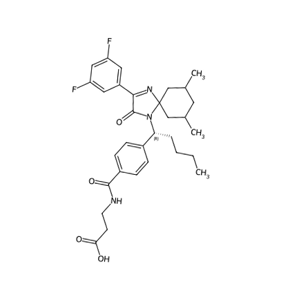 CCCC[C@H](c1ccc(C(=O)NCCC(=O)O)cc1)N1C(=O)C(c2cc(F)cc(F)c2)=NC12CC(C)CC(C)C2